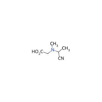 CC(C#N)N(C)CC(=O)O